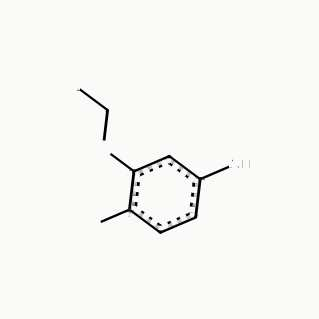 Nc1ccc(C(=O)O)c(OCI)c1